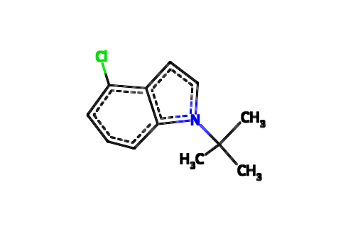 CC(C)(C)n1ccc2c(Cl)cccc21